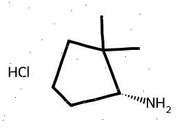 CC1(C)CCC[C@H]1N.Cl